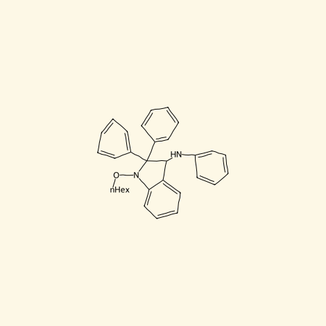 [CH2]CCCCCON1c2ccccc2C(Nc2ccccc2)C1(c1ccccc1)c1ccccc1